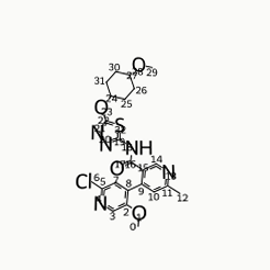 COc1cnc(Cl)cc1-c1cc(C)ncc1C(=O)Nc1nnc(O[C@H]2CC[C@@H](OC)CC2)s1